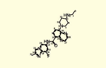 CCNC1CCN(c2ccc(C(=O)Nc3cc(F)c4nc(C)cn4c3)c3nccnc23)CC1